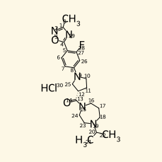 Cc1noc(-c2ccc(N3CC[C@H](C(=O)N4CCCN(C(C)C)CC4)C3)cc2F)n1.Cl